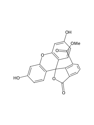 COC(=O)c1cccc2c1C1(OC2=O)c2ccc(O)cc2Oc2cc(O)ccc21